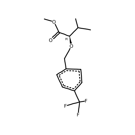 COC(=O)[C@H](OCc1ccc(C(F)(F)F)cc1)C(C)C